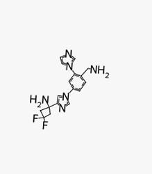 NCc1ccc(-n2cnc(C3(N)CC(F)(F)C3)c2)cc1-n1ccnc1